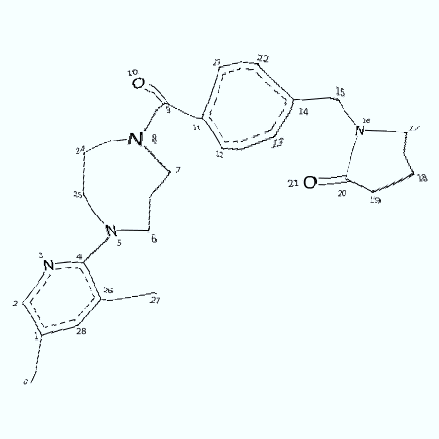 Cc1cnc(N2CCN(C(=O)c3ccc(CN4CCCC4=O)cc3)CC2)c(C)c1